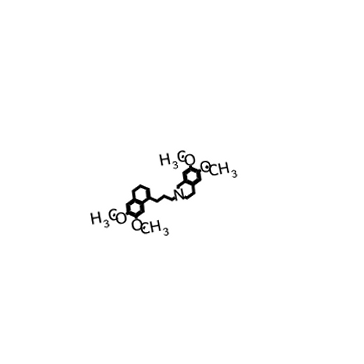 COc1cc2c(cc1OC)CN(CCCC1=CCCc3cc(OC)c(OC)cc31)CC2